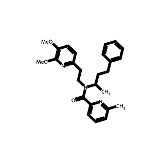 COc1ccc(CCN(C(=O)c2cccc(C)n2)C(C)CCc2ccccc2)nc1OC